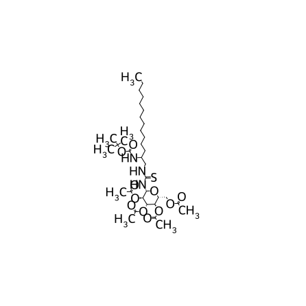 CCCCCCCCCCCCC(CNC(=S)N[C@@H]1O[C@H](COC(C)=O)[C@@H](OC(C)=O)[C@H](OC(C)=O)[C@H]1OC(C)=O)NC(=O)OC(C)(C)C